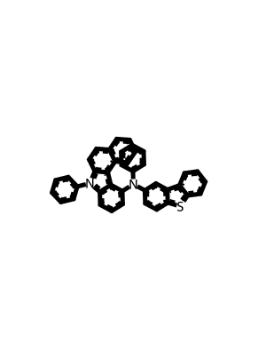 c1ccc(N(c2ccc3sc4ccccc4c3c2)c2cccc3c2c2c4ccccc4ccc2n3-c2ccccc2)cc1